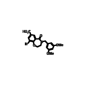 COc1cc(CN2CCOc3c(Br)cc(C(=O)O)cc3C2=O)cc(OC)c1